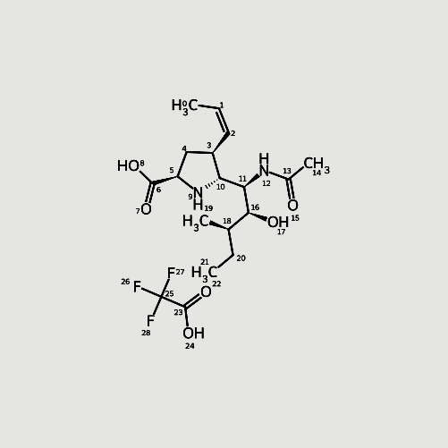 C/C=C\[C@@H]1C[C@H](C(=O)O)N[C@H]1[C@@H](NC(C)=O)[C@@H](O)[C@H](C)CC.O=C(O)C(F)(F)F